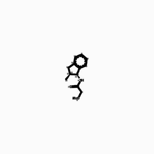 COCC(=O)N[C@H]1c2ccccc2C[C@@H]1C